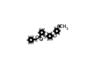 COc1ccc(Oc2ccc(Sc3ccccc3C(=O)OCc3ccccc3)cc2)cc1